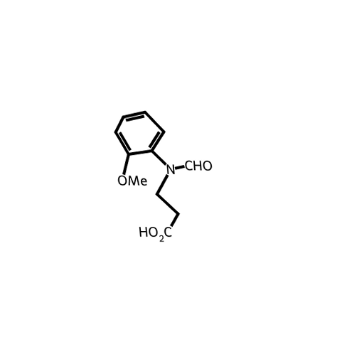 COc1ccccc1N(C=O)CCC(=O)O